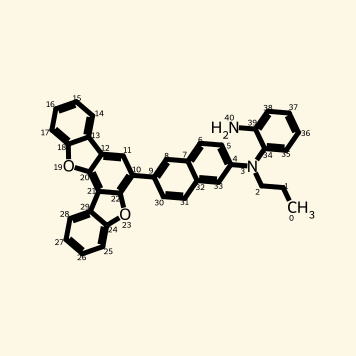 CCCN(c1ccc2cc(-c3cc4c5ccccc5oc4c4c3oc3ccccc34)ccc2c1)c1ccccc1N